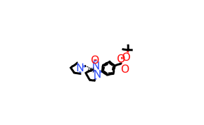 CC(C)(C)OOC(=O)c1ccc(N2CCC[C@@]2(CN2CCCC2)N=O)cc1